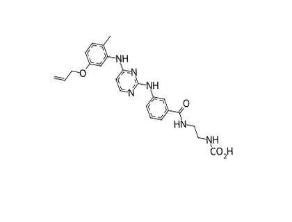 C=CCOc1ccc(C)c(Nc2ccnc(Nc3cccc(C(=O)NCCNC(=O)O)c3)n2)c1